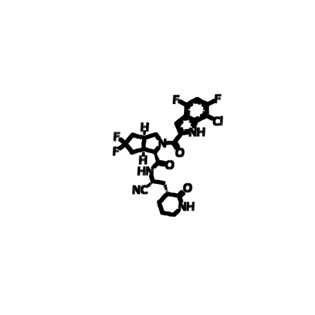 N#C[C@@H](C[C@H]1CCCNC1=O)NC(=O)[C@H]1[C@H]2CC(F)(F)C[C@H]2CN1C(=O)c1cc2c(F)cc(F)c(Cl)c2[nH]1